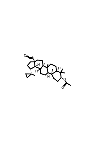 CC(=O)O[C@H]1CC[C@]2(C)[C@H]3CC[C@@H]4[C@H]5[C@H](C6(C)CC6)CC[C@]5(N=C=O)CC[C@@]4(C)[C@]3(C)CC[C@H]2C1(C)C